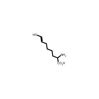 NC(CCCC/C=C/O)C(=O)O